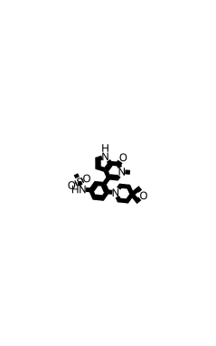 Cn1cc(-c2cc(NS(C)(=O)=O)ccc2N2CCC3(CC2)COC3)c2cc[nH]c2c1=O